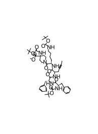 CC#CCC(NC(=O)[C@@H](Cc1ccccc1)NC(=O)[C@@H](Cc1ccccc1)NC(=O)OC(C)(C)C)C(=O)N[C@H](CCCCNC(=O)OC(C)(C)C)C(=O)N1CCC(NC(=O)OC(C)(C)C)(C(=O)OC)CC1